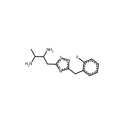 CC(N)C(N)Cc1nc(Cc2ccccc2F)ns1